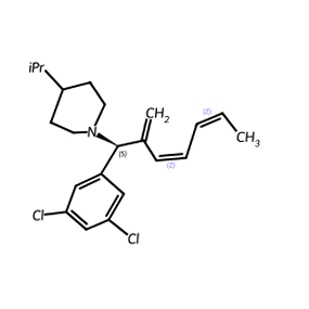 C=C(/C=C\C=C/C)[C@@H](c1cc(Cl)cc(Cl)c1)N1CCC(C(C)C)CC1